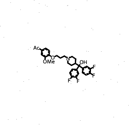 COc1cc(C(C)=O)ccc1OCCCN1CCC(C(O)(c2ccc(F)c(F)c2)c2ccc(F)c(F)c2)CC1